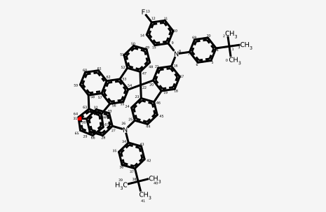 CC(C)(C)c1ccc(N(c2ccc(F)cc2)c2ccc3c(c2)C2(c4cc(N(c5ccc(F)cc5)c5ccc(C(C)(C)C)cc5)ccc4-3)c3ccccc3-c3c2cc2c4c(cccc34)-c3ccccc3-2)cc1